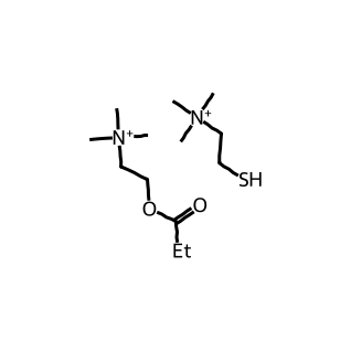 CCC(=O)OCC[N+](C)(C)C.C[N+](C)(C)CCS